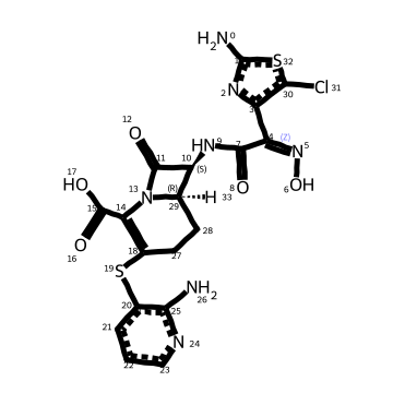 Nc1nc(/C(=N/O)C(=O)N[C@@H]2C(=O)N3C(C(=O)O)=C(Sc4cccnc4N)CC[C@H]23)c(Cl)s1